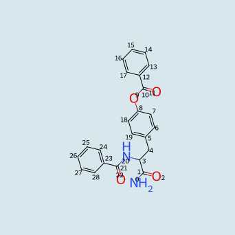 NC(=O)C(Cc1ccc(OC(=O)c2ccccc2)cc1)NC(=O)c1ccccc1